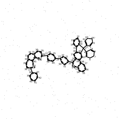 C1=CC(C2(C3=CCCC=C3)c3ccccc3-c3cc4c(-c5ccc(-c6ccc(-c7ccc8ccc9ccc(-c%10ccccc%10)nc9c8n7)cc6)cc5)nc5ccccc5c4cc32)=CCC1